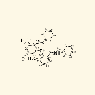 Cc1cc(C)c(OCC2C=CC=CC2)c(Pc2c(C)cccc2CNCc2ccccc2)c1